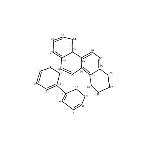 C1=CCCC(C2=CC=CCC2)=C1.c1ccc2c(c1)ccc1c3c(ccc12)CCCC3